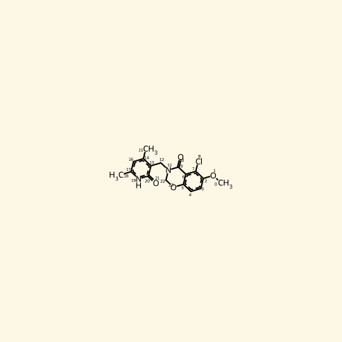 COc1ccc2c(c1Cl)C(=O)N(Cc1c(C)cc(C)[nH]c1=O)CO2